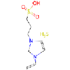 C=CN1C=CN(CCCS(=O)(=O)O)C1.S